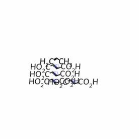 C=CC.O=C(O)/C=C/C(=O)O.O=C(O)/C=C/C(=O)O.O=C(O)/C=C/C(=O)O.O=C(O)/C=C/C(=O)O